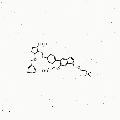 CCOC(=O)COc1cc2c(ccn2COCC[Si](C)(C)C)cc1C1=CCC(OCC2C(OCc3ccccc3)CCC2C(=O)O)CC1